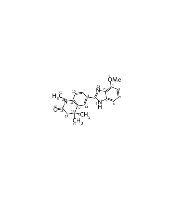 COc1cccc2[nH]c(-c3ccc4c(c3)C(C)(C)CC(=O)N4C)nc12